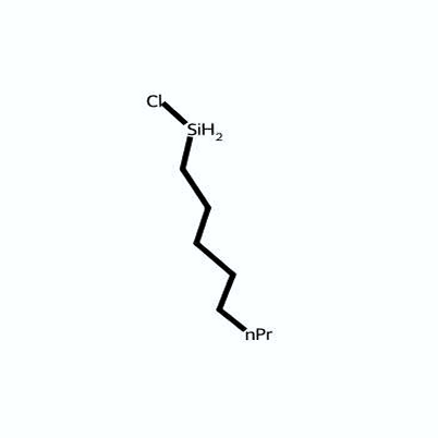 CCCCCCCC[SiH2]Cl